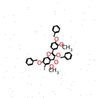 COc1cc(-c2oc3cc(OCc4ccccc4)c(I)c(OC)c3c(=O)c2OCc2ccccc2)ccc1OCc1ccccc1